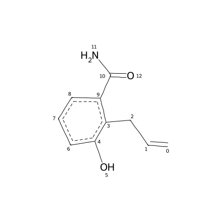 C=CCc1c(O)cccc1C(N)=O